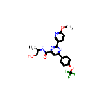 COc1ccc(-c2nc(C(=O)NC(C)CO)cc(-c3ccc(OC(F)(F)F)cc3)n2)cn1